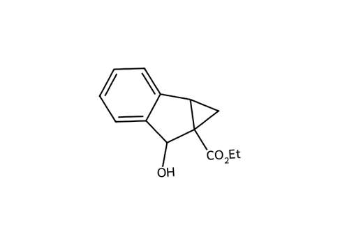 CCOC(=O)C12CC1c1ccccc1C2O